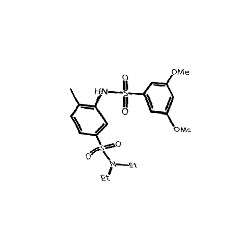 CCN(CC)S(=O)(=O)c1ccc(C)c(NS(=O)(=O)c2cc(OC)cc(OC)c2)c1